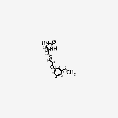 CCc1cccc(OCCSCc2c[nH]c(=O)[nH]2)c1